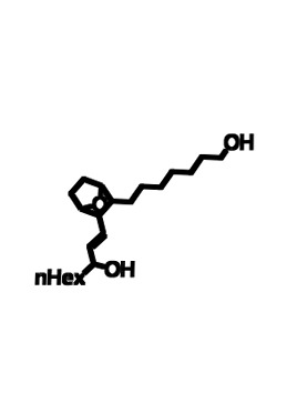 CCCCCCC(O)C=CC1C2CCC(O2)C1CCCCCCCO